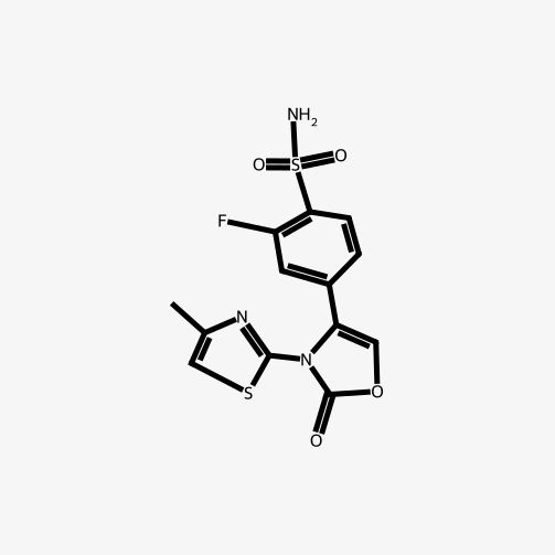 Cc1csc(-n2c(-c3ccc(S(N)(=O)=O)c(F)c3)coc2=O)n1